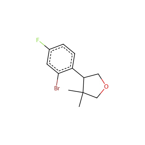 CC1(C)COCC1c1ccc(F)cc1Br